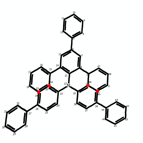 C1=CCC(c2cc(-c3ccccc3)cc(-c3ccccc3)c2N(c2ccc(-c3ccccc3)cc2)c2ccc(-c3ccccc3)cc2)C=C1